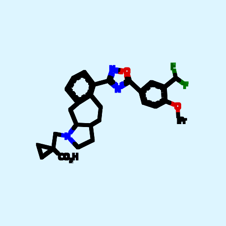 CC(C)Oc1ccc(-c2nc(-c3cccc4c3CCC3CCN(CC5(C(=O)O)CC5)C3C4)no2)cc1C(F)F